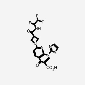 O=C(O)c1cn(-c2nccs2)c2nc(N3CC(C(=O)NC(F)C(F)F)C3)ccc2c1=O